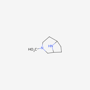 O=C(O)N1CCC2CCC(C1)N2